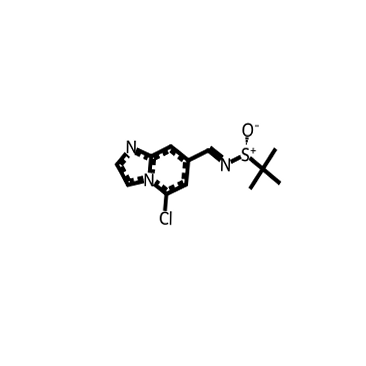 CC(C)(C)[S@@+]([O-])/N=C/c1cc(Cl)n2ccnc2c1